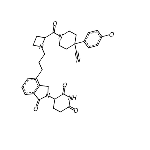 N#CC1(c2ccc(Cl)cc2)CCN(C(=O)C2CCN2CCCc2cccc3c2CN(C2CCC(=O)NC2=O)C3=O)CC1